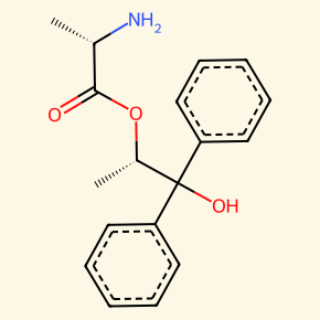 C[C@H](N)C(=O)O[C@@H](C)C(O)(c1ccccc1)c1ccccc1